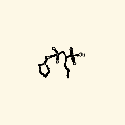 CCCC(CS(=O)(=O)ON1CCCC1)S(=O)(=O)O